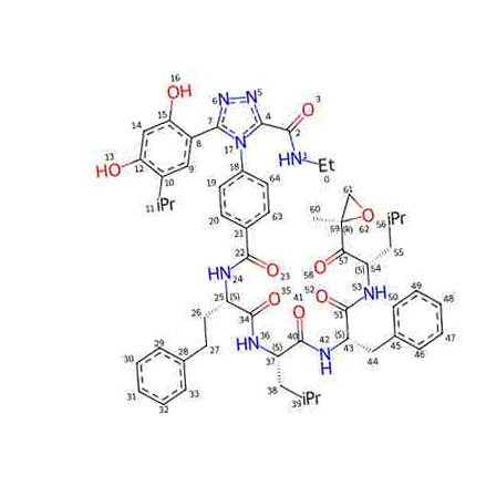 CCNC(=O)c1nnc(-c2cc(C(C)C)c(O)cc2O)n1-c1ccc(C(=O)N[C@@H](CCc2ccccc2)C(=O)N[C@@H](CC(C)C)C(=O)N[C@@H](Cc2ccccc2)C(=O)N[C@@H](CC(C)C)C(=O)[C@@]2(C)CO2)cc1